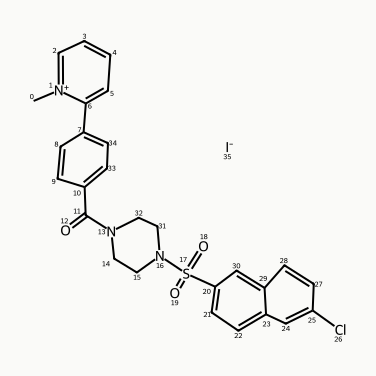 C[n+]1ccccc1-c1ccc(C(=O)N2CCN(S(=O)(=O)c3ccc4cc(Cl)ccc4c3)CC2)cc1.[I-]